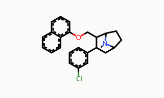 CN1C2CCC1C(COc1cccc3ccccc13)C(c1cccc(Cl)c1)C2